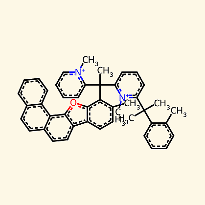 Cc1ccccc1C(C)(C)c1cccc(C(C)(c2c(C)ccc3c2oc2c3ccc3ccc4ccccc4c32)c2cccc[n+]2C)[n+]1C